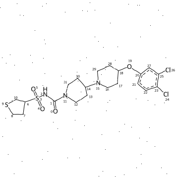 O=C(NS(=O)(=O)C1CCSC1)N1CCC(N2CCC(Oc3ccc(Cl)c(Cl)c3)CC2)CC1